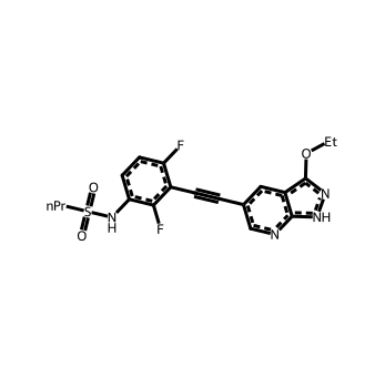 CCCS(=O)(=O)Nc1ccc(F)c(C#Cc2cnc3[nH]nc(OCC)c3c2)c1F